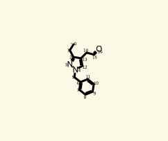 [CH2]Cc1nn(Cc2ccccc2)cc1CC=O